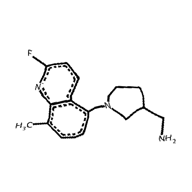 Cc1ccc(N2CCC(CN)C2)c2ccc(F)nc12